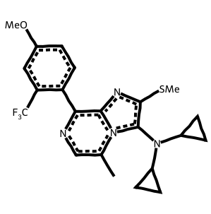 COc1ccc(-c2ncc(C)n3c(N(C4CC4)C4CC4)c(SC)nc23)c(C(F)(F)F)c1